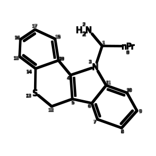 CCCC(N)n1c2c(c3ccccc31)CSc1ccccc1-2